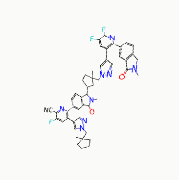 CN1Cc2ccc(-c3nc(F)c(F)cc3-c3cnn(CC4(C)CCC(C5c6ccc(-c7nc(C#N)c(F)cc7-c7cnn(CC8(C)CCCC8)c7)cc6C(=O)N5C)C4)c3)cc2C1=O